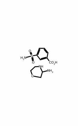 NC1COCCN1.NS(=O)(=O)c1cccc(C(=O)O)c1